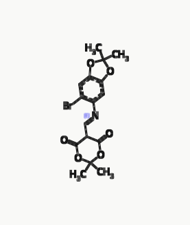 CC1(C)OC(=O)C(/C=N/c2cc3c(cc2Br)OC(C)(C)O3)C(=O)O1